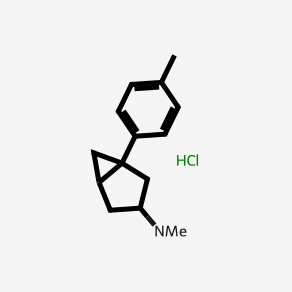 CNC1CC2CC2(c2ccc(C)cc2)C1.Cl